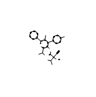 C#CC(C(=O)Oc1c(C(C)C)nc(-c2ccccc2)c(C)c1-c1ccc(F)cc1)(C(C)O)[PH](=O)O